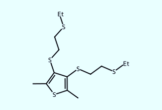 CCSCCSc1c(C)sc(C)c1SCCSCC